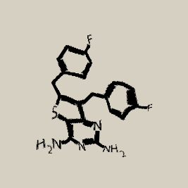 Nc1nc(N)c2sc(Cc3ccc(F)cc3)c(Cc3ccc(F)cc3)c2n1